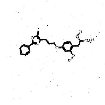 CCOc1cc(OCCCc2nc(-c3ccccc3)oc2C)ccc1CC(OCC)C(=O)O